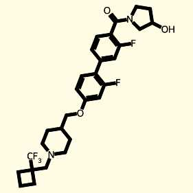 O=C(c1ccc(-c2ccc(OCC3CCN(CC4(C(F)(F)F)CCC4)CC3)cc2F)cc1F)N1CCC(O)C1